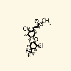 COC(=O)C=Cc1cc(Oc2ccc(C(F)(F)F)cc2Cl)ccc1Cl